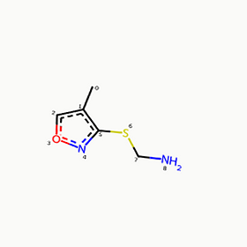 Cc1conc1SCN